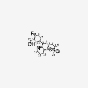 CC(Cc1cc(-c2ccc(F)c(CO)c2)c2ncccc2c1)S(C)(=O)=O